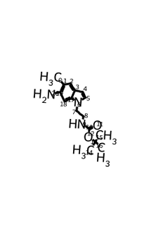 Cc1cc2ccn(CCNC(=O)OC(C)(C)C)c2cc1N